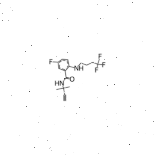 C#CC(C)(C)NC(=O)c1cc(F)ccc1NCCCC(F)(F)F